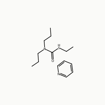 CCCN(CCC)C(=O)[SH]CC.c1ccncc1